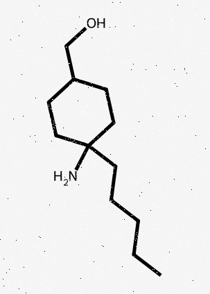 CCCCCC1(N)CCC(CO)CC1